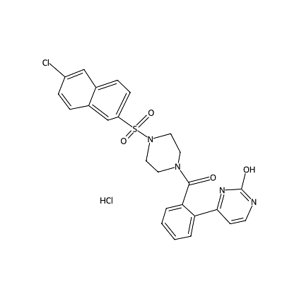 Cl.O=C(c1ccccc1-c1ccnc(O)n1)N1CCN(S(=O)(=O)c2ccc3cc(Cl)ccc3c2)CC1